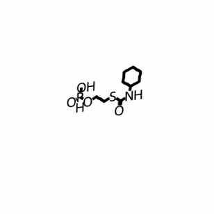 O=C(NC1CCCCC1)SCCO[PH](=O)O